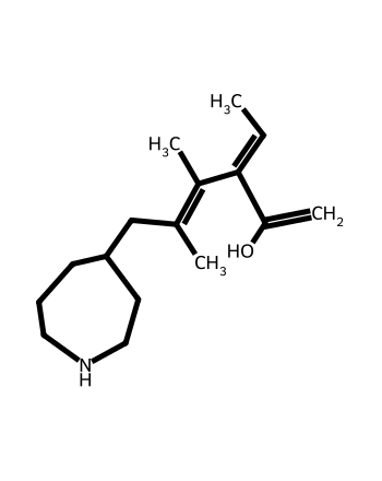 C=C(O)C(=C/C)/C(C)=C(\C)CC1CCCNCC1